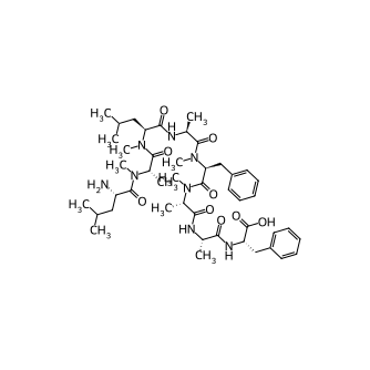 CC(C)C[C@H](N)C(=O)N(C)[C@@H](C)C(=O)N(C)[C@@H](CC(C)C)C(=O)N[C@@H](C)C(=O)N(C)[C@@H](Cc1ccccc1)C(=O)N(C)[C@@H](C)C(=O)N[C@@H](C)C(=O)N[C@@H](Cc1ccccc1)C(=O)O